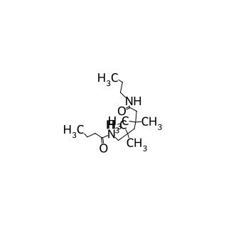 CCCNC(=O)CC(C)(C)CC(C)(C)CNC(=O)CCC